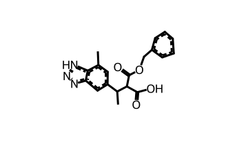 Cc1cc(C(C)C(C(=O)O)C(=O)OCc2ccccc2)cc2nn[nH]c12